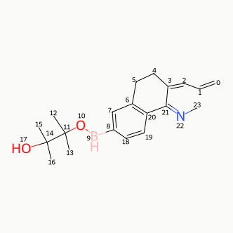 C=C/C=C1/CCc2cc(BOC(C)(C)C(C)(C)O)ccc2/C1=N/C